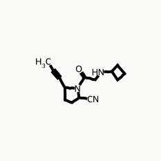 CC#CC1CCC(C#N)N1C(=O)CNC1CCC1